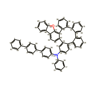 c1ccc(-c2ccc(-c3ccc(N(c4ccccc4)c4ccc5c6ccccc6c6ccccc6c6ccccc6c6c(ccc7c8ccccc8oc76)c5c4)cc3)cc2)cc1